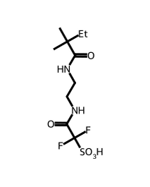 CCC(C)(C)C(=O)NCCNC(=O)C(F)(F)S(=O)(=O)O